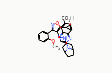 O=C(O)c1ccc2nc(N3C4CCC3CC(NCc3c(-c5ccccc5OC(F)(F)F)noc3C3CC3)C4)cnc2c1